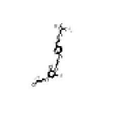 CC(C)CO/N=C/Cc1ccc(OCCCOc2c(Cl)cc(OCC=C(Cl)Cl)cc2Cl)nc1